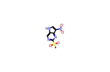 CS(=O)(=O)c1ncc2[nH]cc([N+](=O)[O-])c2n1